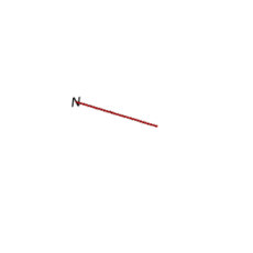 C#CC#CC#CC#CC#CC#CC#CC#CC#CC#CC#CC#CC#CC#CC#CC#CC#CC#CC#CC#CC#CC#CC#CC#CC#CC#CC#CC#CC#CC#CC#CC#CC#CC#CC#CC#CC#CC#CC#CC#CC#CC#CC#CC#CC#CC#CC#CC#CC#CC#CC#CC#CC#CC#CC#CC#N